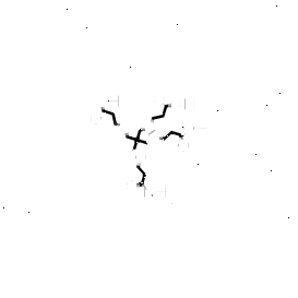 NC(=O)CCOCC(COCCC(=O)O)(COCCC(=O)O)COCCC(=O)O